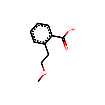 COCCc1ccccc1C(=O)O